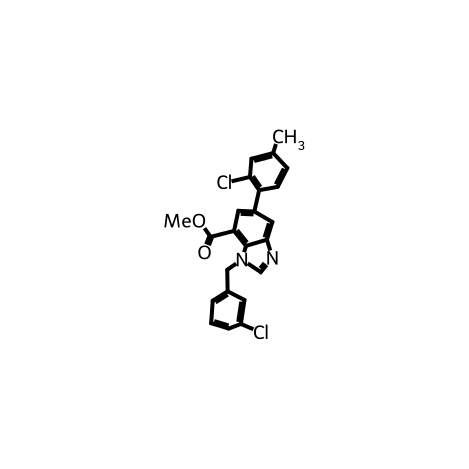 COC(=O)c1cc(-c2ccc(C)cc2Cl)cc2ncn(Cc3cccc(Cl)c3)c12